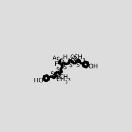 CC(=O)c1sc2c(-c3cc4c(s3)-c3sc(-c5ccc(O)cc5)cc3[Si]4(C)C)sc(-c3cc4c(s3)-c3sc(-c5ccc(O)cc5)cc3[Si]4(C)C)c2c1F